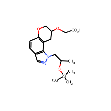 CC(Cn1ncc2ccc3c(c21)CC(OCC(=O)O)CO3)O[Si](C)(C)C(C)(C)C